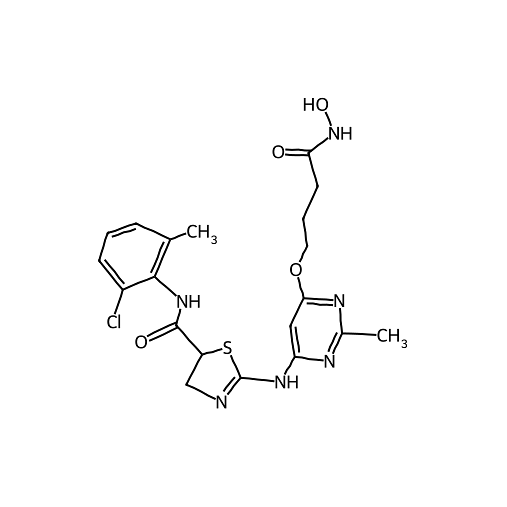 Cc1nc(NC2=NCC(C(=O)Nc3c(C)cccc3Cl)S2)cc(OCCCC(=O)NO)n1